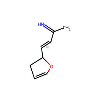 CC(=N)/C=C/C1CC=CO1